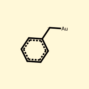 [Au][CH]c1ccccc1